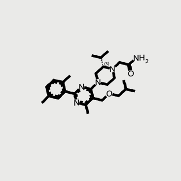 Cc1ccc(C)c(-c2nc(C)c(COCC(C)C)c(N3CCN(CC(N)=O)[C@@H](C(C)C)C3)n2)c1